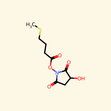 CSCCCC(=O)ON1C(=O)CC(O)C1=O